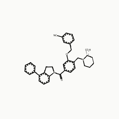 N#Cc1cccc(COc2cc(C(=O)N3CCc4c(-c5ccccc5)cccc43)ccc2CN2CCCC[C@H]2C(=O)O)c1